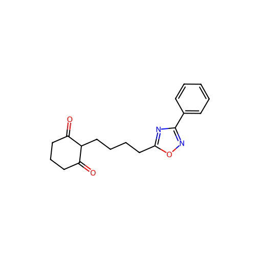 O=C1CCCC(=O)C1CCCCc1nc(-c2ccccc2)no1